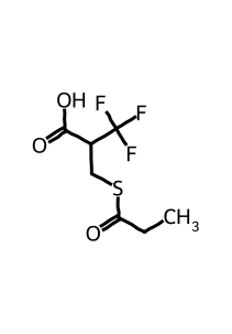 CCC(=O)SCC(C(=O)O)C(F)(F)F